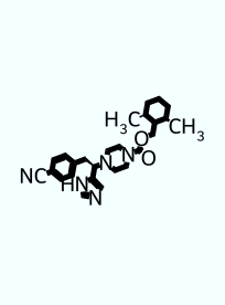 C[C@@H]1CCC[C@@H](C)C1COC(=O)N1CCN([C@H](Cc2ccc(C#N)cc2)c2cnc[nH]2)CC1